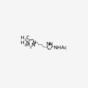 CC(=O)Nc1ccc(CCCCN(N)/C=C(/C)N)nn1